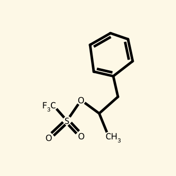 CC(Cc1ccccc1)OS(=O)(=O)C(F)(F)F